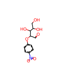 O=CC(Oc1ccc([N+](=O)[O-])cc1)C(O)C(O)CO